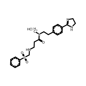 CN(CCc1ccc(C2=NCCN2)cc1)C(=O)CCNCS(=O)(=O)c1ccccc1.Cl